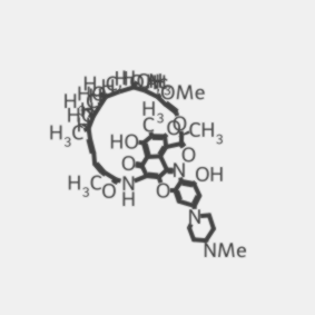 CNC1CCN(c2cc(O)c3nc4c5c6c7c(C)c(O)c5c(=O)c(c-4oc3c2)NC(=O)/C(C)=C\C=C\[C@H](C)[C@H](O)[C@@H](C)[C@@H](O)[C@@H](C)[C@H](OC(C)=O)[C@H](C)[C@@H](OC)/C=C/O[C@@](C)(O7)C6=O)CC1